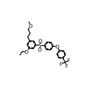 CCOc1cc(CCCOC)cc(S(=O)(=O)c2ccc(Oc3ccc(C(F)(F)F)cc3)cc2)c1